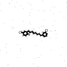 Clc1cccc(CCCC/C=C/c2cc3cc(Cl)ccc3s2)c1